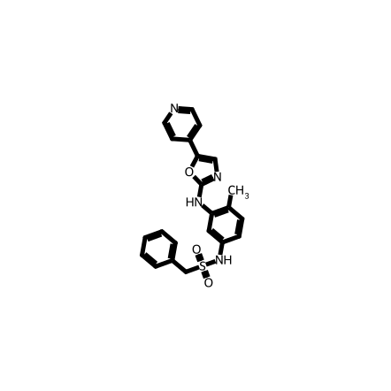 Cc1ccc(NS(=O)(=O)Cc2ccccc2)cc1Nc1ncc(-c2ccncc2)o1